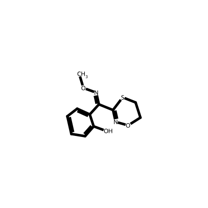 CO/N=C(/C1=NOCCS1)c1ccccc1O